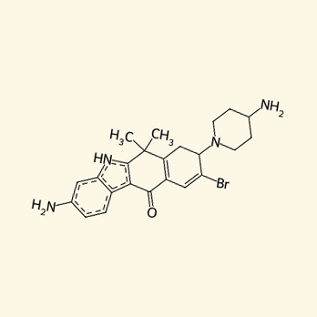 CC1(C)C2=C(C=C(Br)C(N3CCC(N)CC3)C2)C(=O)c2c1[nH]c1cc(N)ccc21